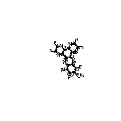 Cc1nc2c3nc(C)c(C)nc3c3nc4c(F)c(C#N)c(F)c(F)c4nc3c2nc1C